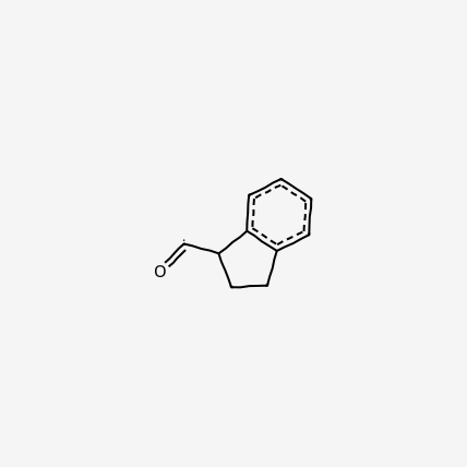 O=[C]C1CCc2ccccc21